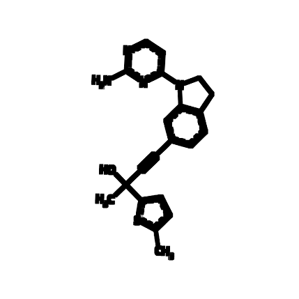 Cc1ccc(C(C)(O)C#Cc2ccc3c(c2)N(c2ccnc(N)n2)CC3)s1